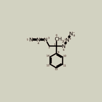 CC(CN=[N+]=[N-])(N=[N+]=[N-])c1ccccc1